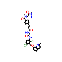 CNC(=O)CN(C)C(=O)c1ccc(C=CC(=O)NCC(=O)N(C)c2ccc(Cl)c(COc3cccc4ccc(C)nc34)c2Cl)cc1